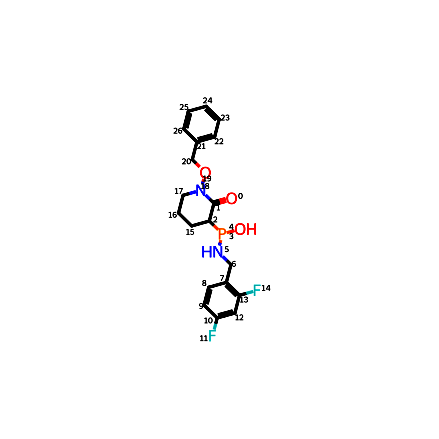 O=C1C(P(O)NCc2ccc(F)cc2F)CCCN1OCc1ccccc1